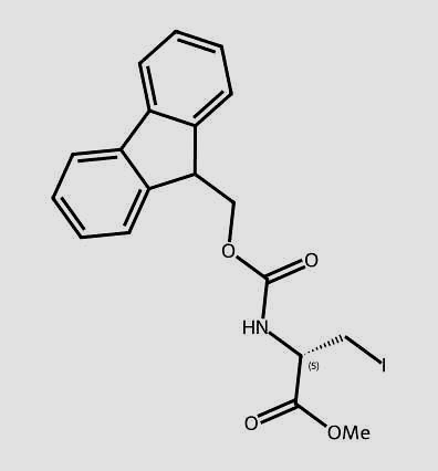 COC(=O)[C@@H](CI)NC(=O)OCC1c2ccccc2-c2ccccc21